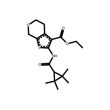 CCOC(=O)c1c(NC(=O)C2C(C)(C)C2(C)C)sc2c1CCOC2